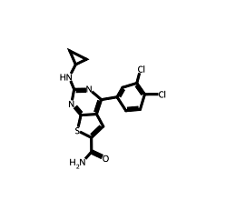 NC(=O)c1cc2c(-c3ccc(Cl)c(Cl)c3)nc(NC3CC3)nc2s1